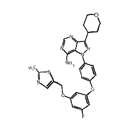 Cc1ncc(COc2cc(F)cc(Oc3ccc(-n4nc(C5CCOCC5)c5ncnc(N)c54)cc3)c2)s1